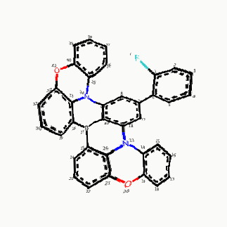 Fc1ccccc1-c1cc2c3c(c1)N1c4ccccc4Oc4cccc(c41)B3c1cccc3c1N2c1ccccc1O3